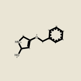 OC1C=C(OCc2ccccc2)CN1